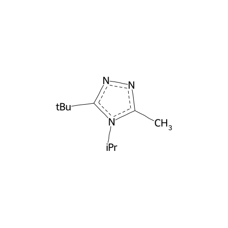 Cc1nnc(C(C)(C)C)n1C(C)C